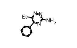 CCc1nnc(N)nc1-c1ccccc1